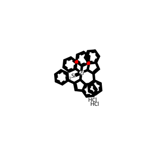 Cl.Cl.[SiH2]=[Zr]([c]1ccccc1)([c]1ccccc1)([CH]1C(c2ccccc2)=Cc2ccccc21)[CH]1C(c2ccccc2)=Cc2ccccc21